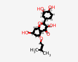 CC(C)=CCOc1cc(O)cc2oc(-c3ccc(O)c(O)c3)c(O)c(=O)c12